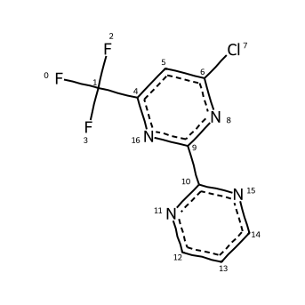 FC(F)(F)c1cc(Cl)nc(-c2ncccn2)n1